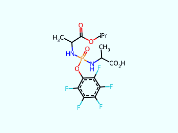 CC(C)OC(=O)C(C)NP(=O)(NC(C)C(=O)O)Oc1c(F)c(F)c(F)c(F)c1F